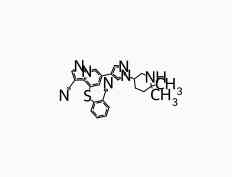 CC1(C)CC[C@@H](n2cc(-c3cc(Sc4ccccc4C#N)c4c(C#N)cnn4c3)cn2)CN1